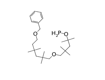 CC(C)(CCOCc1ccccc1)CC(C)(C)COCC(C)(C)CC(C)(C)OP